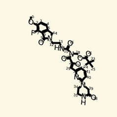 COc1ccc2c(c1F)C(=O)N(CCNC(=O)N(COC(=O)C(C)(C)C)C(=O)c1cc3nc(N4CCNC(=O)C4)ccc3o1)C2